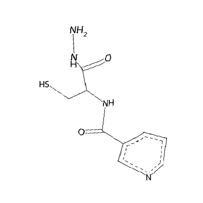 NNC(=O)C(CS)NC(=O)c1cccnc1